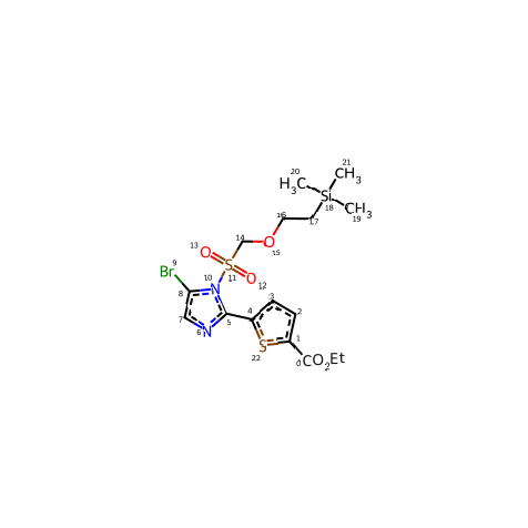 CCOC(=O)c1ccc(-c2ncc(Br)n2S(=O)(=O)COCC[Si](C)(C)C)s1